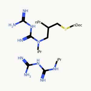 CC(C)NC(=N)NC(=N)N.CCCCCCCCCCSCC(CCC)CN(C(=N)NC(=N)N)C(C)C